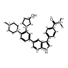 CN1CCN(c2ccc(-c3cnc4[nH]cc(-c5ccc(C(=O)N(C)C)cc5)c4c3)cc2N2CCC(O)C2)CC1